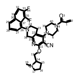 C=CC(=O)N1CCN(c2c(C#N)c(OCC3CCCN3C)nc3c2CCN(c2cccc4ccc(F)c(F)c24)C3)CC1